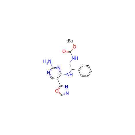 CC(C)(C)OC(=O)NC[C@@H](Nc1nc(N)ncc1-c1nnco1)c1ccccc1